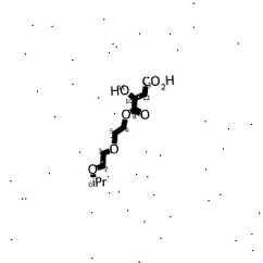 CC(C)OCCOCCOC(=O)C(O)CC(=O)O